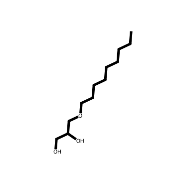 CCCCCCCCCOCC(O)CO